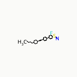 CCCCCC1CCC(C#Cc2ccc(-c3ccc(SC#N)c(F)c3)cc2)CC1